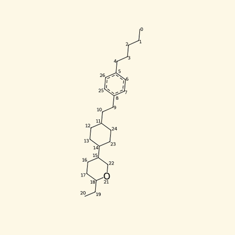 CCCCCc1ccc(CCC2CCC(C3CCC(CC)OC3)CC2)cc1